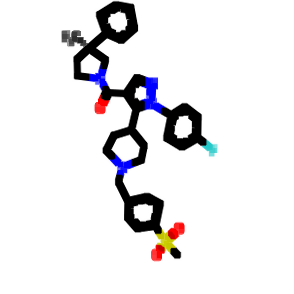 CS(=O)(=O)c1ccc(CN2CCC(c3c(C(=O)N4CC[C@](c5ccccc5)(C(F)(F)F)C4)cnn3-c3ccc(F)cc3)CC2)cc1